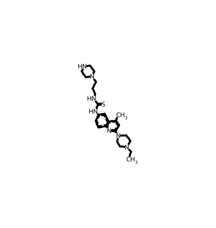 CCN1CCN(c2cc(C)c3cc(NC(=S)NCCCN4CCNCC4)ccc3n2)CC1